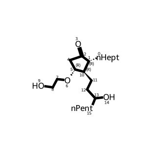 CCCCCCC[C@H]1C(=O)C[C@@H](OCCO)[C@@H]1CCC(O)CCCCC